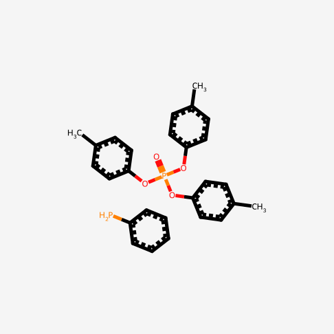 Cc1ccc(OP(=O)(Oc2ccc(C)cc2)Oc2ccc(C)cc2)cc1.Pc1ccccc1